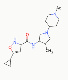 CC(=O)N1CCC(N2CC(C)C(NC(=O)C3C=C(C4CC4)ON3)C2)CC1